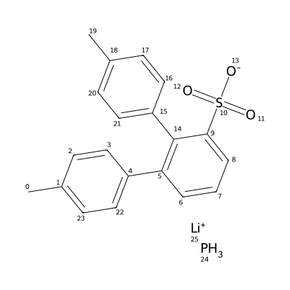 Cc1ccc(-c2cccc(S(=O)(=O)[O-])c2-c2ccc(C)cc2)cc1.P.[Li+]